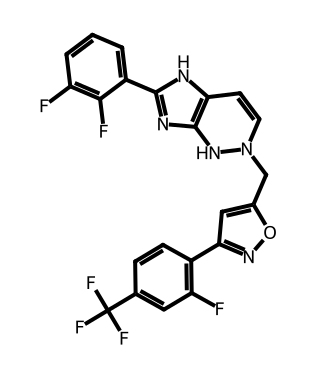 Fc1cc(C(F)(F)F)ccc1-c1cc(CN2C=Cc3[nH]c(-c4cccc(F)c4F)nc3N2)on1